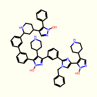 On1ncc(C2CCNC(c3cccc(-c4cccc(-c5c(C6CCNCC6)c(-c6cccc(-c7nc(-c8c(C9CCNCC9)cnn8O)cn7Cc7ccccc7)c6)nn5O)c4)c3)C2)c1-c1ccccc1